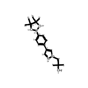 CC(C)(O)Cn1cc(-c2ccc(B3OC(C)(C)C(C)(C)O3)cc2)cn1